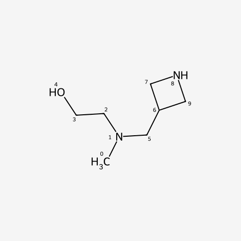 CN(CCO)CC1CNC1